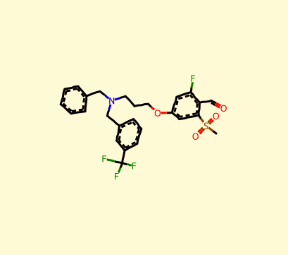 CS(=O)(=O)c1cc(OCCCN(Cc2ccccc2)Cc2cccc(C(F)(F)F)c2)cc(F)c1C=O